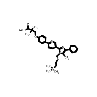 COC(=O)C(C)(C)COc1ccc(-c2ccc(-c3nc(-c4ccccc4)c(C(F)(F)F)n3COCC[Si](C)(C)C)cn2)cc1